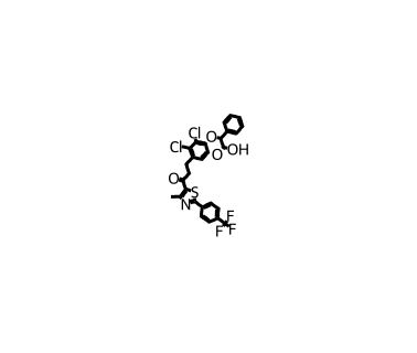 Cc1nc(-c2ccc(C(F)(F)F)cc2)sc1C(=O)CCc1ccc(OC(C(=O)O)c2ccccc2)c(Cl)c1Cl